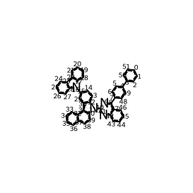 c1ccc(-c2ccc(-c3nc(-n4c5ccc(-n6c7ccccc7c7ccccc76)cc5c5c6ccccc6ccc54)nc4ccccc34)cc2)cc1